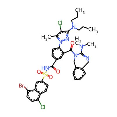 CCCN(CCC)c1nn(-c2ccc(C(=O)NS(=O)(=O)c3ccc4c(Cl)ccc(Br)c4c3)cc2C(=O)N2Cc3ccccc3CN=C2N(C)C)c(C)c1Cl